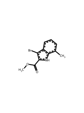 COC(=O)c1[nH]c2c(C)cccc2c1Br